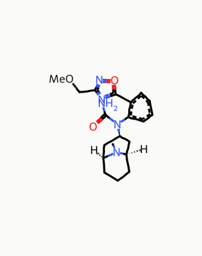 COCc1noc(-c2ccccc2N(C(N)=O)[C@H]2C[C@H]3CCC[C@@H](C2)N3C)n1